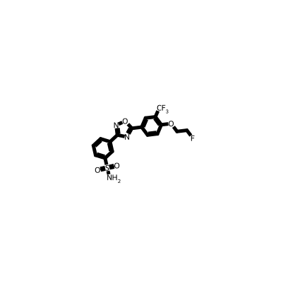 NS(=O)(=O)c1cccc(-c2noc(-c3ccc(OCCF)c(C(F)(F)F)c3)n2)c1